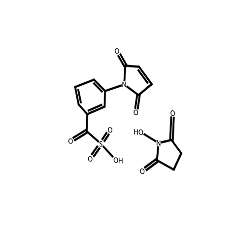 O=C1C=CC(=O)N1c1cccc(C(=O)S(=O)(=O)O)c1.O=C1CCC(=O)N1O